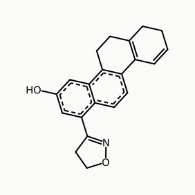 Oc1cc(C2=NOCC2)c2ccc3c(c2c1)CCC1=C3C=CCC1